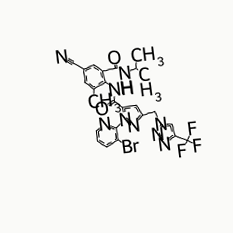 Cc1cc(C#N)cc(C(=O)NC(C)C)c1NC(=O)c1cc(Cn2cc(C(F)(F)F)nn2)nn1-c1ncccc1Br